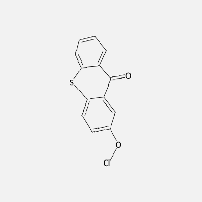 O=c1c2ccccc2sc2ccc(OCl)cc12